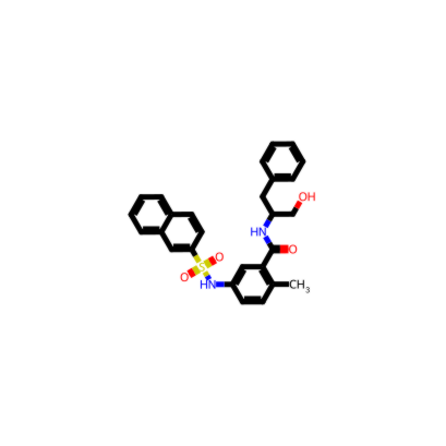 Cc1ccc(NS(=O)(=O)c2ccc3ccccc3c2)cc1C(=O)NC(CO)Cc1ccccc1